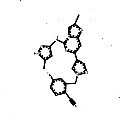 Cc1cn2c(Nc3cc(C)[nH]n3)nc(-c3cnn(Cc4cc(F)ccc4C#N)c3)cc2n1